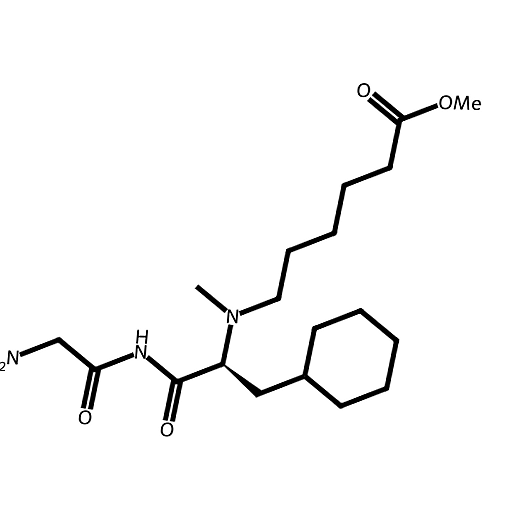 COC(=O)CCCCCN(C)[C@@H](CC1CCCCC1)C(=O)NC(=O)CN